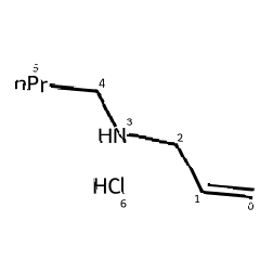 C=CCNCCCC.Cl